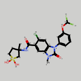 CC(C)n1c(=O)n(-c2cccc(OC(F)F)c2)c2cc(Cl)c(C(=O)NC3(C)CCS(O)(O)C3)cc21